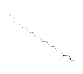 CC=CC(=O)OCCCCCCCCCCCCC[Si](C)(C)I